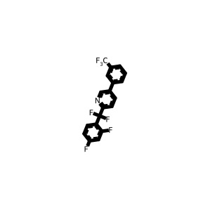 Fc1ccc(C(F)(F)c2ccc(-c3cccc(C(F)(F)F)c3)cn2)c(F)c1